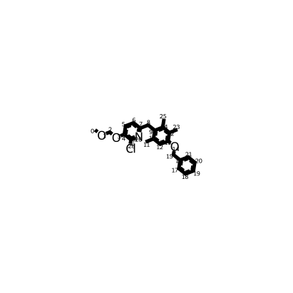 COCOc1ccc(Cc2c(C)cc(OCc3ccccc3)c(C)c2C)nc1Cl